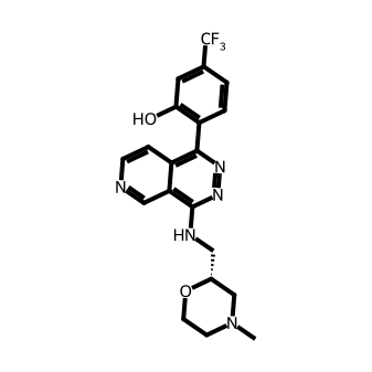 CN1CCO[C@H](CNc2nnc(-c3ccc(C(F)(F)F)cc3O)c3ccncc23)C1